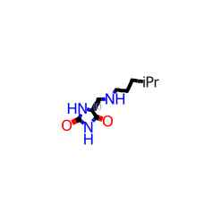 CC(C)CCCN/C=C1/NC(=O)NC1=O